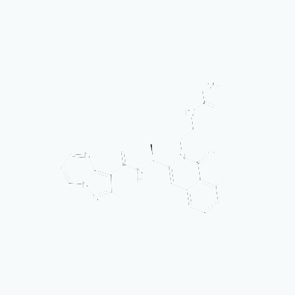 COC(=O)NCCn1c([C@H](C)NC(=O)c2c(C)nn3cccnc23)cc2cccc(Cl)c2c1=O